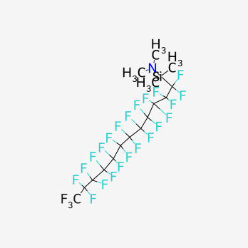 CN(C)[Si](C)(C)C(F)(F)C(F)(F)C(F)(F)C(F)(F)C(F)(F)C(F)(F)C(F)(F)C(F)(F)C(F)(F)C(F)(F)C(F)(F)C(F)(F)F